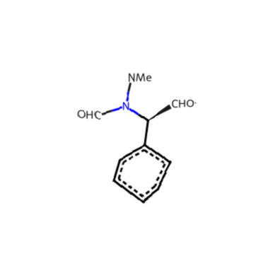 CNN(C=O)[C@@H]([C]=O)c1ccccc1